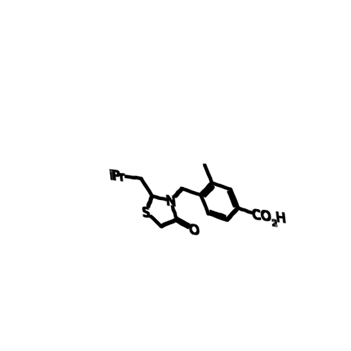 Cc1cc(C(=O)O)ccc1CN1C(=O)CSC1CC(C)C